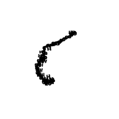 CC(=O)Nc1ccc(OCCOCCOCCOCCOCCOCCNCCCN(C)CCCNC(=O)CCNC(=O)c2nc(NC(=O)CCNC(=O)c3cc(NC(=O)c4nc(NC(=O)CCNC(=O)c5cc(NC(=O)c6nccn6C)cn5C)cn4C)cn3C)cn2C)cc1